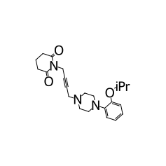 CC(C)Oc1ccccc1N1CCN(CC#CCN2C(=O)CCCC2=O)CC1